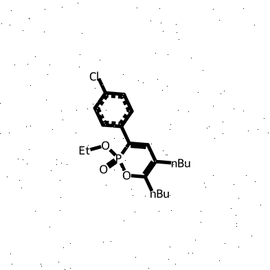 CCCCC1=C(CCCC)OP(=O)(OCC)C(c2ccc(Cl)cc2)=C1